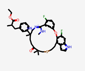 CCOC(=O)C(C)Cc1cccc(C2(C)CCC(=O)C(C)(C)CSCCc3c(c(F)cc4[nH]ccc34)Oc3ccc(F)c(c3)/C(NC)=N/C2=N)c1